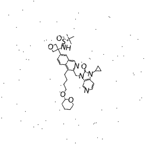 CC(C)(C)[S+]([O-])NC1(c2ccc3c(CCCCOC4CCCCO4)c(Cn4c(=O)n(C5CC5)c5ccncc54)ncc3c2)COC1